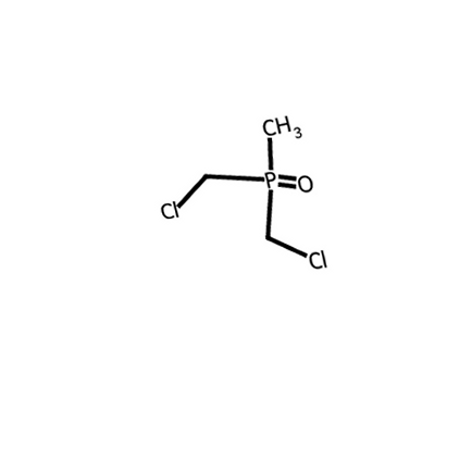 CP(=O)(CCl)CCl